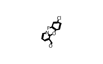 O=Cc1cccnc1Oc1ccc(Cl)cc1F